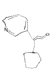 O=C(c1cccnc1)C1CCCC1